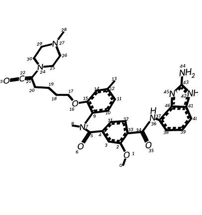 COc1cc(C(=O)N(C)c2ccc(C)cc2OCCCCC(=C=O)N2CCN(C)CC2)ccc1C(=O)Nc1cccc2[nH]c(N)nc12